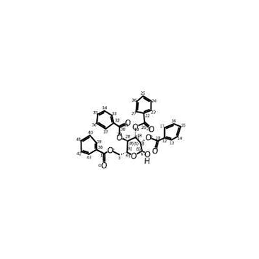 O=C(OC[C@H]1O[C@H](O)[C@@H](OC(=O)c2ccccc2)[C@@H](OC(=O)c2ccccc2)[C@@H]1OC(=O)c1ccccc1)c1ccccc1